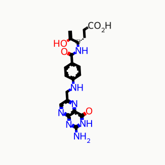 C=C(O)[C@H](CCC(=O)O)NC(=O)c1ccc(NCc2cnc3nc(N)[nH]c(=O)c3n2)cc1